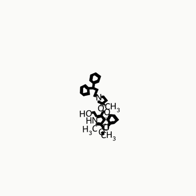 COC(=O)C1=C(C)NC(CO)=C(C(=O)O[C@@]2(C)CCN(CCC(c3ccccc3)c3ccccc3)C2)[C@@H]1c1ccccc1Cl